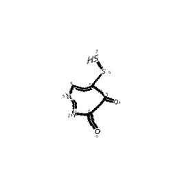 O=C1N=NC=C(SS)C1=O